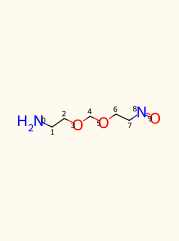 NCCOCOCCN=O